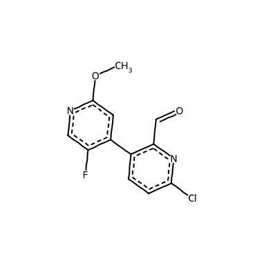 COc1cc(-c2ccc(Cl)nc2C=O)c(F)cn1